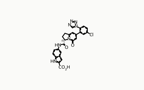 O=C(O)c1cc2cc(NC(=O)[C@@H]3CCc4cc(-c5cc(Cl)ccc5-n5cnnn5)cc(=O)n43)ccc2[nH]1